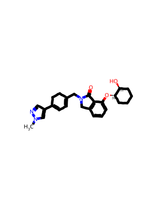 Cn1cc(C2=CC=C(CN3Cc4cccc(O[C@H]5CCCC[C@@H]5O)c4C3=O)CC2)cn1